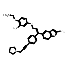 Cc1cc2cc(C(=CCOc3ccc(OCC(=O)O)c(C)c3)c3ccc(C#CCN4CCCC4)cc3)ccc2o1